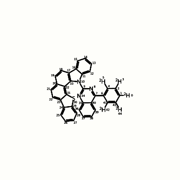 [2H]c1c([2H])c([2H])c(-c2nc(-n3c4ccccc4c4ccc5ccc6c7ccccc7sc6c5c43)nc3ccccc23)c([2H])c1[2H]